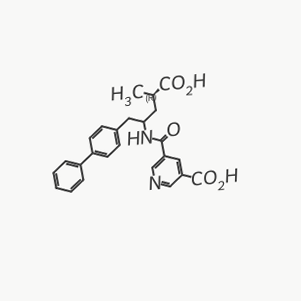 C[C@H](CC(Cc1ccc(-c2ccccc2)cc1)NC(=O)c1cncc(C(=O)O)c1)C(=O)O